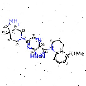 COc1cccc2c1CCCN2c1n[nH]c2nc(N3CCC(C)(CN)CC3)cnc12